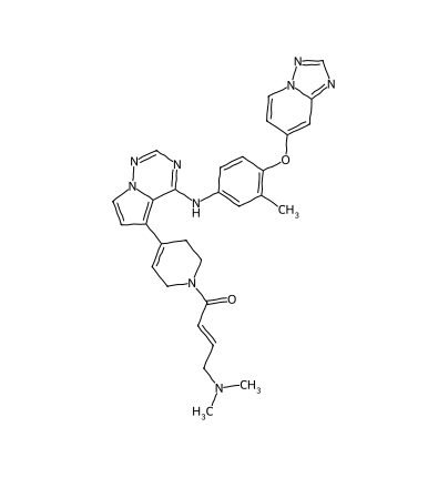 Cc1cc(Nc2ncnn3ccc(C4=CCN(C(=O)/C=C/CN(C)C)CC4)c23)ccc1Oc1ccn2ncnc2c1